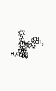 COc1c(C)cnc(Cn2nc3c4c(nc(N(C(=O)O)C(C)(C)C)nc42)SCC(CCN2CCCCC2)=C3)c1C